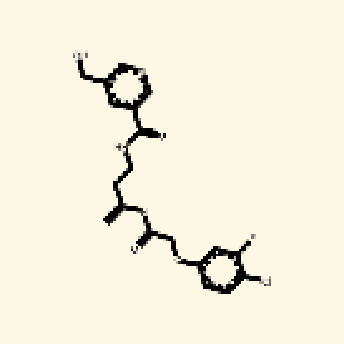 C=C(CCNC(=O)c1cncc(CO)c1)NC(=O)COc1ccc(Cl)c(F)c1